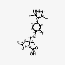 Cc1n[nH]c(C)c1-c1ccc(OCC(C)(CC(C)C)NC(=O)O)c(F)c1